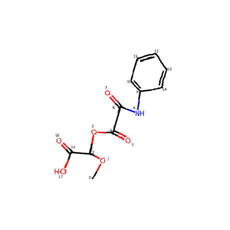 COC(OC(=O)C(=O)Nc1ccccc1)C(=O)O